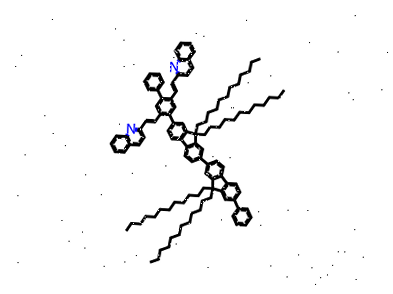 CCCCCCCCCCCCC1(CCCCCCCCCCCC)c2cc(-c3ccccc3)ccc2-c2ccc(-c3ccc4c(c3)C(CCCCCCCCCCCC)(CCCCCCCCCCCC)c3cc(-c5cc(/C=C/c6ccc7ccccc7n6)c(-c6ccccc6)cc5/C=C/c5ccc6ccccc6n5)ccc3-4)cc21